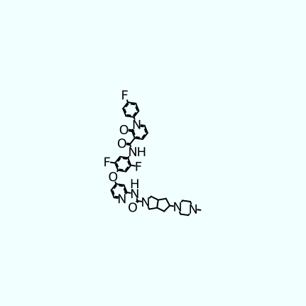 CN1CCN(C2CC3CN(C(=O)Nc4cc(Oc5cc(F)c(NC(=O)c6cccn(-c7ccc(F)cc7)c6=O)cc5F)ccn4)CC3C2)CC1